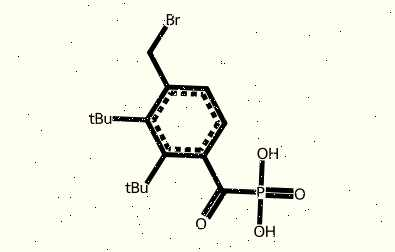 CC(C)(C)c1c(CBr)ccc(C(=O)P(=O)(O)O)c1C(C)(C)C